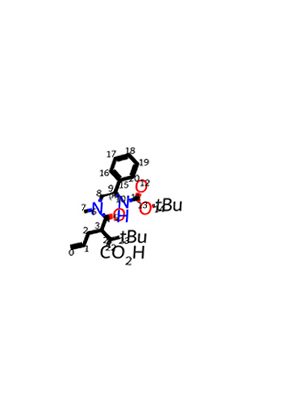 C=CCC(C(=O)N(C)C[C@H](NC(=O)OC(C)(C)C)c1ccccc1)C(C(=O)O)C(C)(C)C